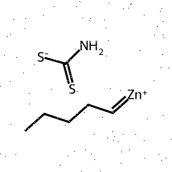 CCCC[CH]=[Zn+].NC(=S)[S-]